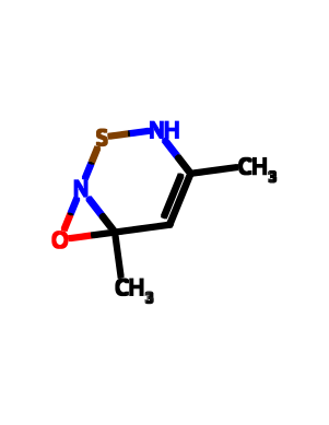 CC1=CC2(C)ON2SN1